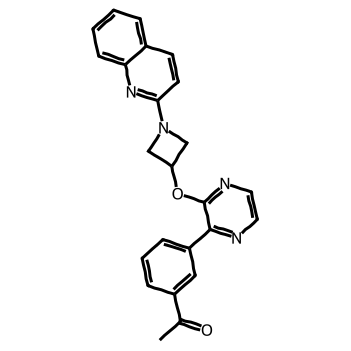 CC(=O)c1cccc(-c2nccnc2OC2CN(c3ccc4ccccc4n3)C2)c1